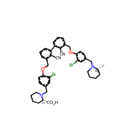 C[C@@H]1CCCCN1Cc1ccc(OCc2cccc(-c3cccc(COc4ccc(CN5CCCC[C@H]5C(=O)O)cc4Br)c3C#N)c2C#N)c(Br)c1